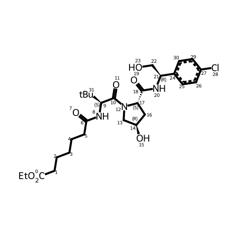 CCOC(=O)CCCCCC(=O)N[C@H](C(=O)N1C[C@H](O)C[C@H]1C(=O)N[C@@H](CO)c1ccc(Cl)cc1)C(C)(C)C